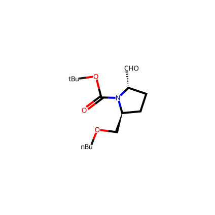 CCCCOC[C@@H]1CC[C@@H](C=O)N1C(=O)OC(C)(C)C